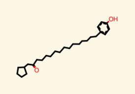 O=C(CCCCCCCCCCCCCCc1ccc(O)cc1)CC1CCCC1